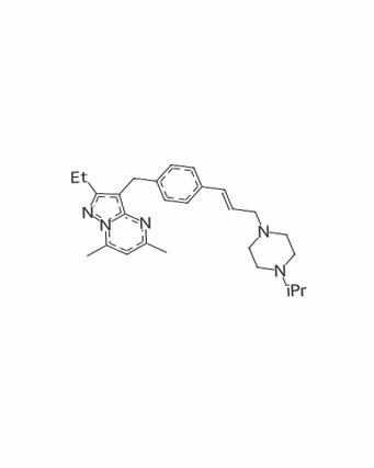 CCc1nn2c(C)cc(C)nc2c1Cc1ccc(C=CCN2CCN(C(C)C)CC2)cc1